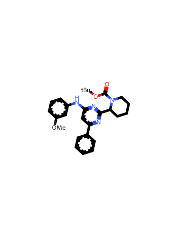 COc1cccc(Nc2cc(-c3ccccc3)nc(C3CCCCN3C(=O)OC(C)(C)C)n2)c1